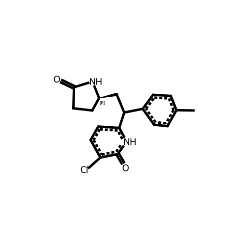 Cc1ccc(C(C[C@H]2CCC(=O)N2)c2ccc(Cl)c(=O)[nH]2)cc1